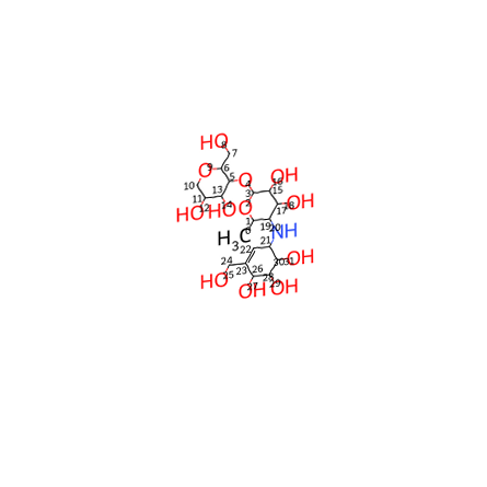 CC1OC(OC2C(CO)OCC(O)C2O)C(O)C(O)C1NC1C=C(CO)C(O)C(O)C1O